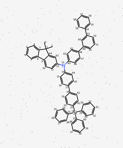 CC1(C)c2ccccc2-c2ccc(N(c3ccc(-c4ccc([Si](c5ccccc5)(c5ccccc5)c5ccccc5)cc4)cc3)c3ccc(-c4cccc(-c5ccccc5)c4)cc3)cc21